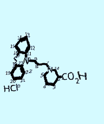 Cl.O=C(O)C1CCCN(CCCN2c3ccccc3Sc3ccccc32)C1